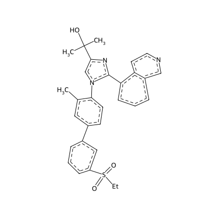 CCS(=O)(=O)c1cccc(-c2ccc(-n3cc(C(C)(C)O)nc3-c3cccc4cnccc34)c(C)c2)c1